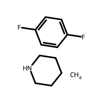 C.C1CCNCC1.Fc1ccc(F)cc1